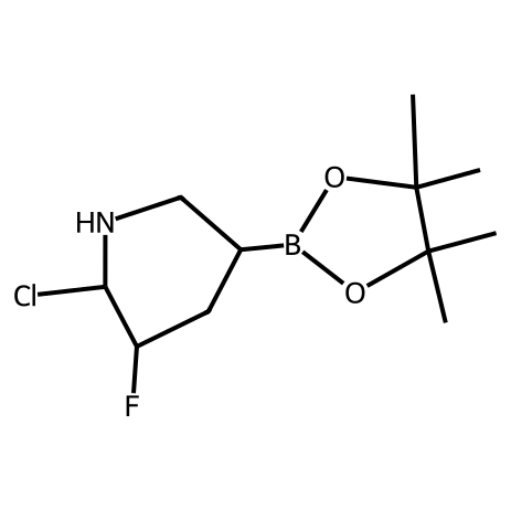 CC1(C)OB(C2CNC(Cl)C(F)C2)OC1(C)C